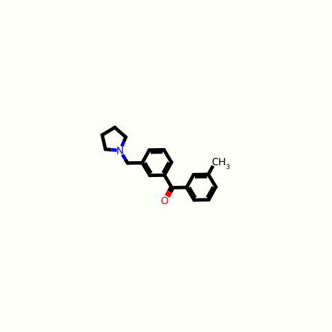 Cc1cccc(C(=O)c2cccc(CN3CCCC3)c2)c1